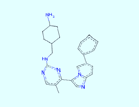 Cc1cnc(NCC2CCC(N)CC2)nc1-c1cnc2ccc(-c3ccccc3)cn12